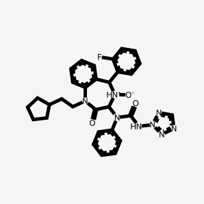 O=C1C(N(C(=O)Nn2ncnn2)c2ccccc2)[NH+]([O-])C(c2ccccc2F)c2ccccc2N1CCC1CCCC1